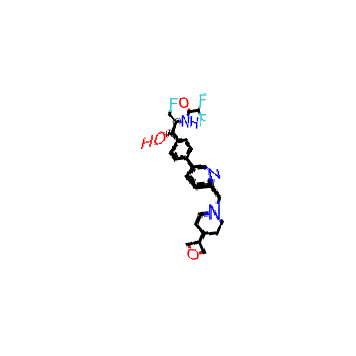 O=C(N[C@H](CF)[C@H](O)c1ccc(-c2ccc(CN3CCC(C4COC4)CC3)nc2)cc1)C(F)F